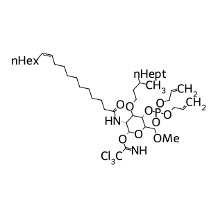 C=CCOP(=O)(OCC=C)O[C@@H]1C(COC)O[C@H](OC(=N)C(Cl)(Cl)Cl)[C@H](NC(=O)CCCCCCCCC/C=C\CCCCCC)C1OCCC(C)CCCCCCC